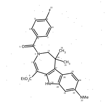 CCOC(=O)C1=CN(C(=O)c2ccc(F)cc2)CC(C)(C)c2c1[nH]c1cc(NC)ccc21